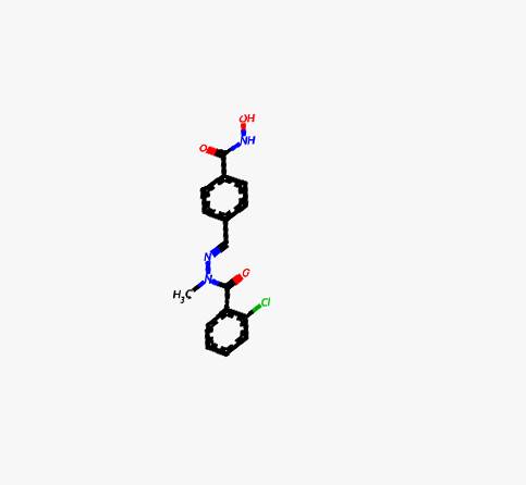 CN(/N=C/c1ccc(C(=O)NO)cc1)C(=O)c1ccccc1Cl